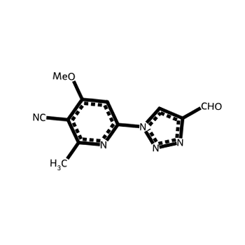 COc1cc(-n2cc(C=O)nn2)nc(C)c1C#N